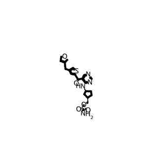 NS(=O)(=O)OC[C@@H]1CC[C@H](Nc2ncncc2C(=O)c2cc(CC3=CCOC3)cs2)C1